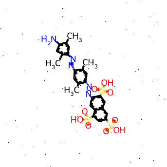 Cc1cc(N=Nc2cc(C)c(N=Nc3cc4c(S(=O)(=O)O)cc(S(=O)(=O)O)cc4cc3S(=O)(=O)O)cc2C)c(C)cc1N